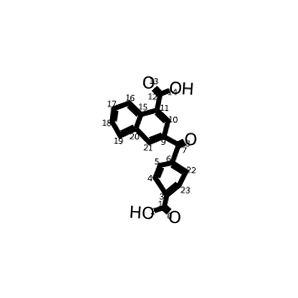 O=C(O)c1ccc(C(=O)c2cc(C(=O)O)c3ccccc3c2)cc1